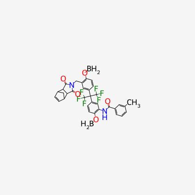 BOc1ccc(C(c2ccc(OB)c(NC(=O)c3cccc(C)c3)c2)(C(F)(F)F)C(F)(F)F)cc1CN1C(=O)C2C3C=CC(C3)C2C1=O